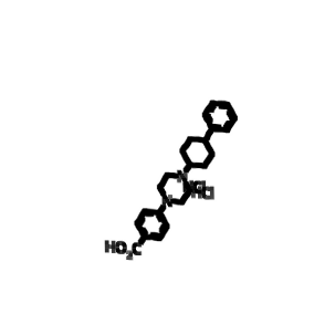 Cl.Cl.O=C(O)c1ccc(N2CCN(C3CCC(c4ccccc4)CC3)CC2)cc1